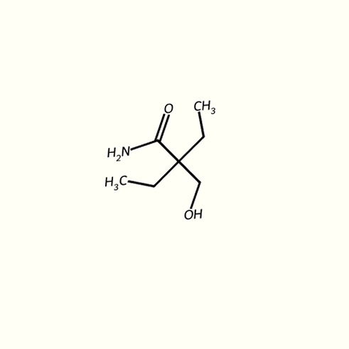 CCC(CC)(CO)C(N)=O